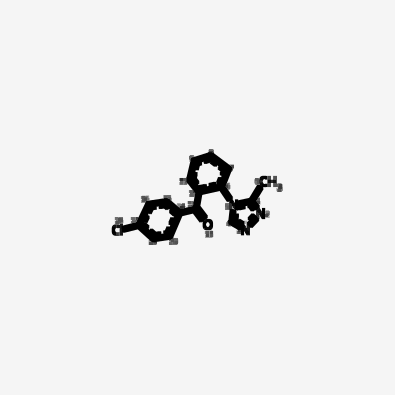 Cc1nncn1-c1ccccc1C(=O)c1ccc(Cl)cc1